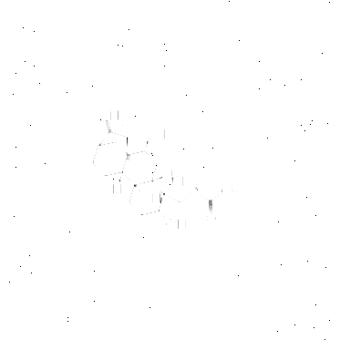 C=C1C[C@]23CC1CC[C@H]2C1(C)CCC(O)C(C)(COC(C)=O)[C@H]1C[C@@H]3O